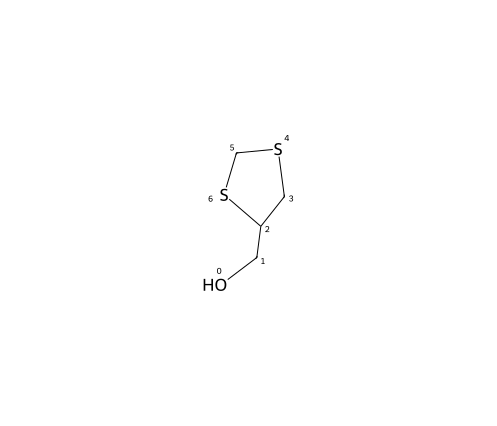 OCC1CSCS1